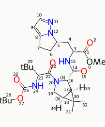 COC(=O)C(CC1CCc2ccnn21)NC(=O)[C@@H]1[C@@H]2[C@H](CN1C(=O)C(NC(=O)OC(C)(C)C)C(C)(C)C)C2(C)C